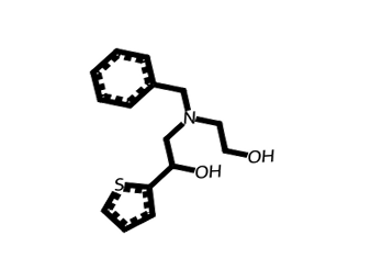 OCCN(Cc1ccccc1)CC(O)c1cccs1